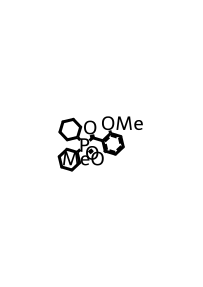 COc1cccc(OC)c1C(=O)P(=O)(C1CCCCC1)C1CCCCC1